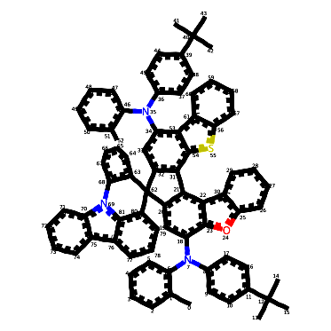 Cc1ccccc1N(c1ccc(C(C)(C)C)cc1)c1cc2c(c3c1oc1ccccc13)-c1c(cc(N(c3ccc(C(C)(C)C)cc3)c3ccccc3C)c3c1sc1ccccc13)C21c2ccccc2-n2c3ccccc3c3cccc1c32